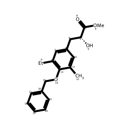 CCc1cc(C[C@@H](O)C(=O)OC)cc(C)c1OCc1ccccc1